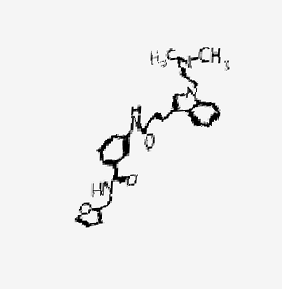 CN(C)CCn1cc(/C=C/C(=O)Nc2cccc(C(=O)NCc3ccco3)c2)c2ccccc21